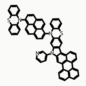 c1cncc(-n2c3cc4c(cc3c3c5cccc6c7cccc8cccc(c(cc32)c65)c87)sc2ccccc2n4-c2ccc3ccc4c(N5c6ccccc6Sc6ccccc65)ccc5ccc2c3c54)c1